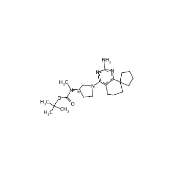 CN(C(=O)OC(C)(C)C)[C@@H]1CCN(c2nc(N)nc3c2CCCC32CCCC2)C1